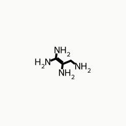 NCC(N)=C(N)N